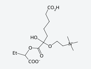 CCC(OC(=O)C(O)(CCCCC(=O)O)OCC[N+](C)(C)C)C(=O)[O-]